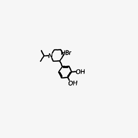 Br.CC(C)N1CCCC(c2ccc(O)c(O)c2)C1